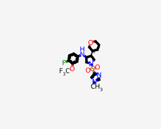 Cn1cnc(S(=O)(=O)N2CC(Nc3ccc(F)c(OC(F)(F)F)c3)C([C@@H]3CCCOC3)C2)c1